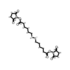 O=C(CCCCCSSCCCCCC(=O)ON1C(=O)CCC1=O)ON1C(=O)CCC1=O